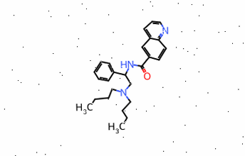 CCCCN(CCCC)CC(NC(=O)c1ccc2ncccc2c1)c1ccccc1